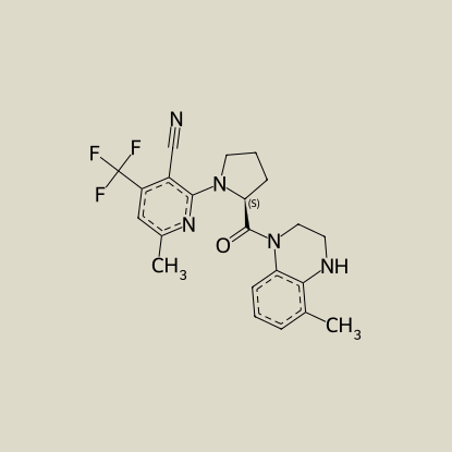 Cc1cc(C(F)(F)F)c(C#N)c(N2CCC[C@H]2C(=O)N2CCNc3c(C)cccc32)n1